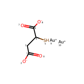 O=C([O-])CC(S)C(=O)[O-].[Au+].[Au+]